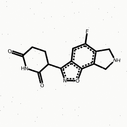 O=C1CCC(c2noc3c4c(c(F)cc23)CNC4)C(=O)N1